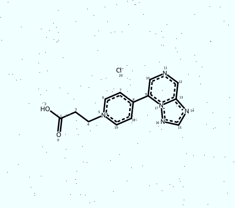 O=C(O)CC[n+]1ccc(-c2cncc3ncnn23)cc1.[Cl-]